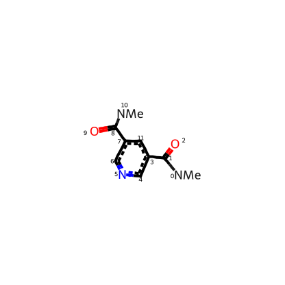 CNC(=O)c1cncc(C(=O)NC)c1